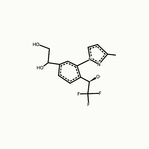 Cc1ccn(-c2cc(C(O)CO)ccc2[C@@H]([O])C(F)(F)F)n1